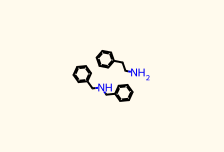 NCCc1ccccc1.c1ccc(CNCc2ccccc2)cc1